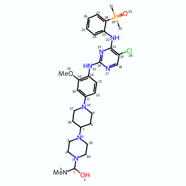 CNC(O)N1CCN(C2CCN(c3ccc(Nc4ncc(Cl)c(Nc5ccccc5P(C)(C)=O)n4)c(OC)c3)CC2)CC1